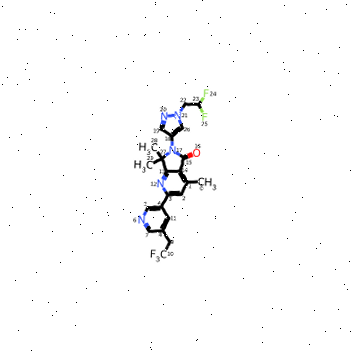 Cc1cc(-c2cncc(CC(F)(F)F)c2)nc2c1C(=O)N(c1cnn(CC(F)F)c1)C2(C)C